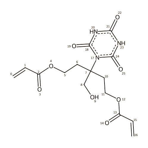 C=CC(=O)OCCC(CO)(CCOC(=O)C=C)n1c(=O)[nH]c(=O)[nH]c1=O